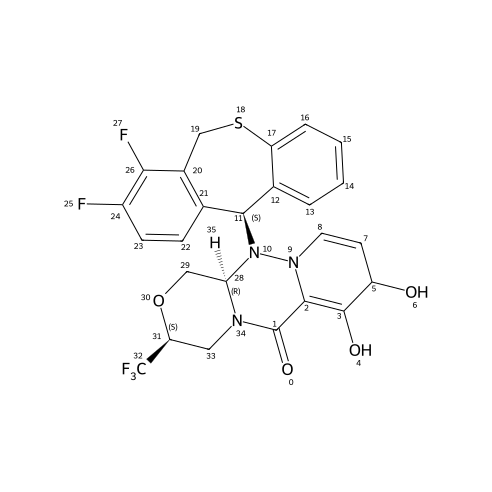 O=C1C2=C(O)C(O)C=CN2N([C@@H]2c3ccccc3SCc3c2ccc(F)c3F)[C@@H]2CO[C@H](C(F)(F)F)CN12